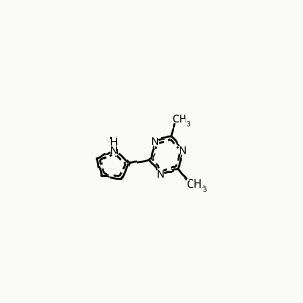 Cc1nc(C)nc(-c2ccc[nH]2)n1